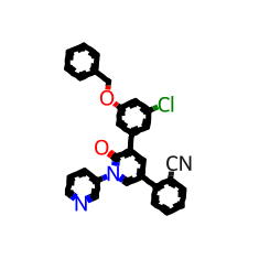 N#Cc1ccccc1-c1cc(-c2cc(Cl)cc(OCc3ccccc3)c2)c(=O)n(-c2cccnc2)c1